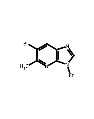 CCn1cnc2cc(Br)c(C)nc21